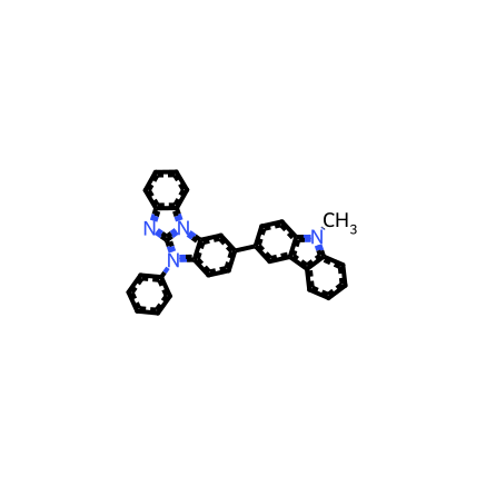 Cn1c2ccccc2c2cc(-c3ccc4c(c3)n3c5ccccc5nc3n4-c3ccccc3)ccc21